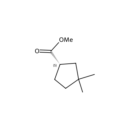 COC(=O)[C@H]1CCC(C)(C)C1